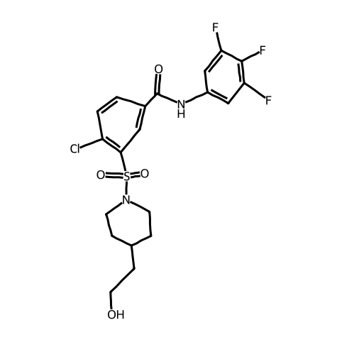 O=C(Nc1cc(F)c(F)c(F)c1)c1ccc(Cl)c(S(=O)(=O)N2CCC(CCO)CC2)c1